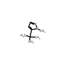 Cn1n[c]cc1C(C)(C)C